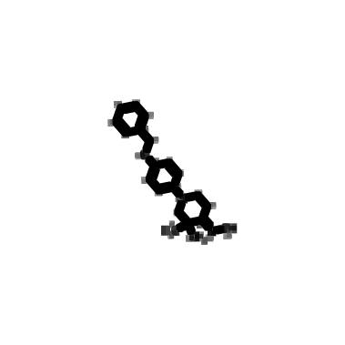 CC1(C)CN(c2ccc(OCc3ccccc3)cc2)CCC1=NO